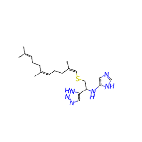 CC(C)=CCCC(C)=CCCC(C)=CSCC(Nc1cnc[nH]1)c1cnn[nH]1